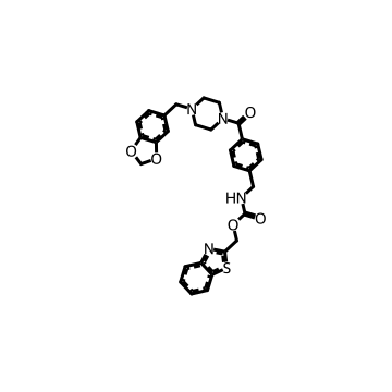 O=C(NCc1ccc(C(=O)N2CCN(Cc3ccc4c(c3)OCO4)CC2)cc1)OCc1nc2ccccc2s1